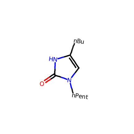 CCCCCn1cc(CCCC)[nH]c1=O